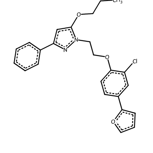 CCCOc1cc(-c2ccccc2)nn1CCOc1ccc(-c2ccco2)cc1Cl